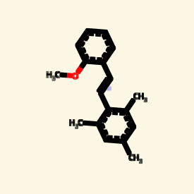 COc1ccccc1/C=C/c1c(C)cc(C)cc1C